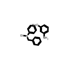 CCN(Cc1ccccc1)c1ccccc1.COc1cccc(N)c1